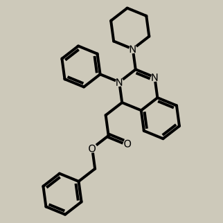 O=C(CC1c2ccccc2N=C(N2CCCCC2)N1c1ccccc1)OCc1ccccc1